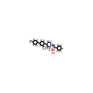 Cc1cc(-c2ccc(F)cc2)ccc1C1CCN(CC(O)c2ccccc2)CC1